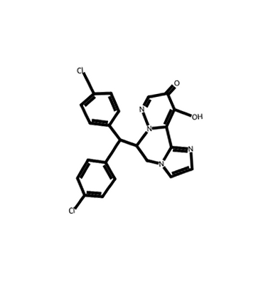 O=c1cnn2c(c1O)-c1nccn1CC2C(c1ccc(Cl)cc1)c1ccc(Cl)cc1